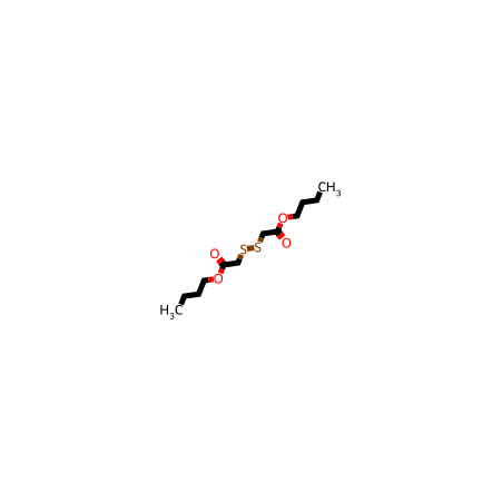 CCCCOC(=O)CSSCC(=O)OCCCC